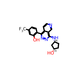 Oc1cc(C(F)(F)F)ccc1-c1nnc(N[C@@H]2CC[C@H](O)C2)c2cnccc12